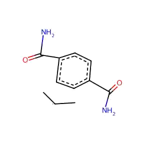 C[CH]C.NC(=O)c1ccc(C(N)=O)cc1